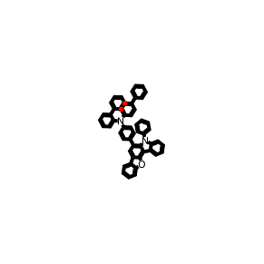 c1ccc(-c2ccc(N(c3ccc(-c4cc5c6ccccc6oc5c5c6ccccc6n(-c6ccccc6)c45)cc3)c3ccccc3-c3ccccc3)cc2)cc1